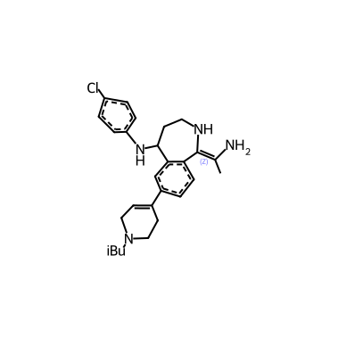 CCC(C)N1CC=C(c2ccc3c(c2)C(Nc2ccc(Cl)cc2)CCN/C3=C(/C)N)CC1